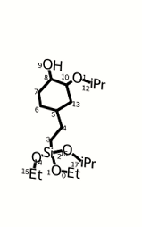 CCO[Si](CCC1CCC(O)C(OC(C)C)C1)(OCC)OC(C)C